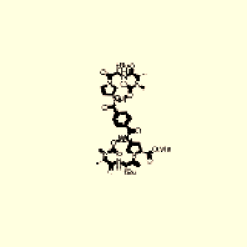 C=C([C@@H](NC(=O)[C@H](C)N(C)C(=O)OC(C)(C)C)C(C)(C)C)N1C[C@@H](NC(=O)c2ccc(C(=O)N[C@H]3CCN(C(=O)[C@@H](NC(=O)[C@H](C)N(C)C(=O)OC(C)(C)C)C(C)(C)C)C3)cc2)C[C@H]1C(=O)OC